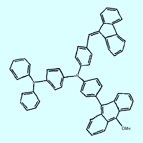 COc1c2ccccc2c(-c2ccc(N(c3ccc(C=C4c5ccccc5-c5ccccc54)cc3)c3ccc(N(c4ccccc4)c4ccccc4)cc3)cc2)c2ccccc12